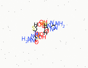 Nc1nc2c(nnn2[C@@]23CS[C@H](COP(O)(=S)O[C@@H]4[C@@H](COP(O)(=S)O2)OC[C@]4(F)n2cnc4c(N)ncnc42)C3)c(=O)[nH]1